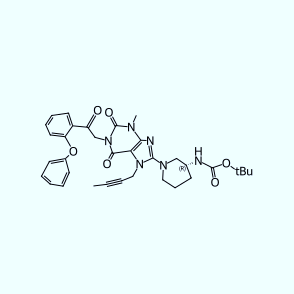 CC#CCn1c(N2CCC[C@@H](NC(=O)OC(C)(C)C)C2)nc2c1c(=O)n(CC(=O)c1ccccc1Oc1ccccc1)c(=O)n2C